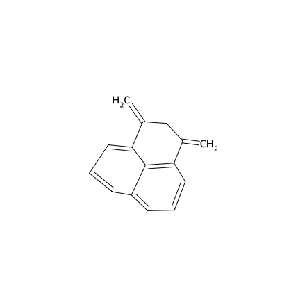 C=C1CC(=C)c2cccc3cccc1c23